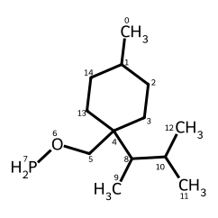 CC1CCC(COP)(C(C)C(C)C)CC1